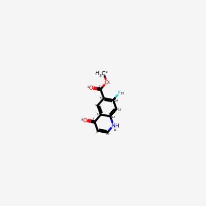 COC(=O)c1cc2c(=O)cc[nH]c2cc1F